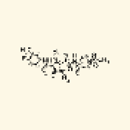 Cc1cc(NC(=O)c2c(C)c(C(=O)C(=O)NC3(CO)CCN(S(C)(=O)=O)CC3)n(C)c2C)ccc1F